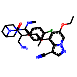 C=N/C(=C\C=C(/C)c1cc(OCC)cn2ncc(C#N)c12)N1CC2CC(C1)N2C(=O)C(CN)c1ccc(F)cc1